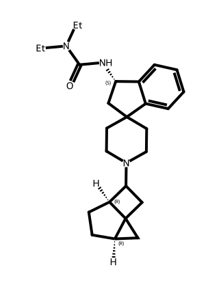 CCN(CC)C(=O)N[C@H]1CC2(CCN(C3CC45C[C@H]4CC[C@@H]35)CC2)c2ccccc21